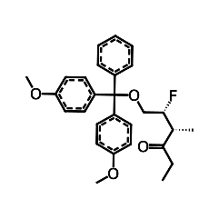 CCC(=O)[C@@H](C)[C@@H](F)COC(c1ccccc1)(c1ccc(OC)cc1)c1ccc(OC)cc1